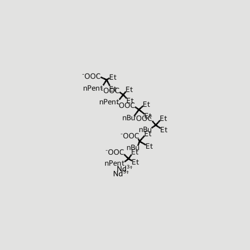 CCCCC(CC)(CC)C(=O)[O-].CCCCC(CC)(CC)C(=O)[O-].CCCCC(CC)(CC)C(=O)[O-].CCCCCC(CC)(CC)C(=O)[O-].CCCCCC(CC)(CC)C(=O)[O-].CCCCCC(CC)(CC)C(=O)[O-].[Nd+3].[Nd+3]